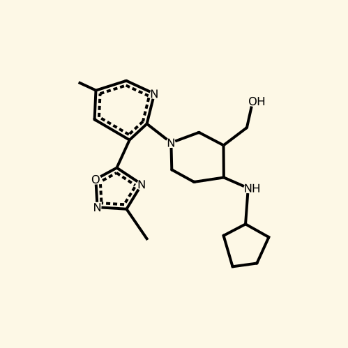 Cc1cnc(N2CCC(NC3CCCC3)C(CO)C2)c(-c2nc(C)no2)c1